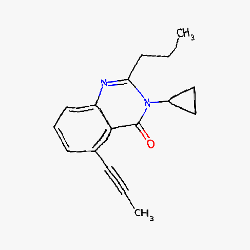 CC#Cc1cccc2nc(CCC)n(C3CC3)c(=O)c12